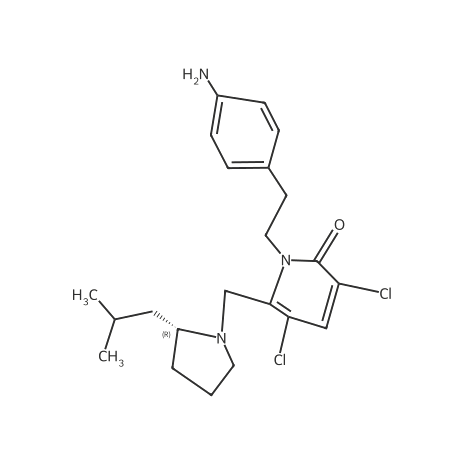 CC(C)C[C@H]1CCCN1Cc1c(Cl)cc(Cl)c(=O)n1CCc1ccc(N)cc1